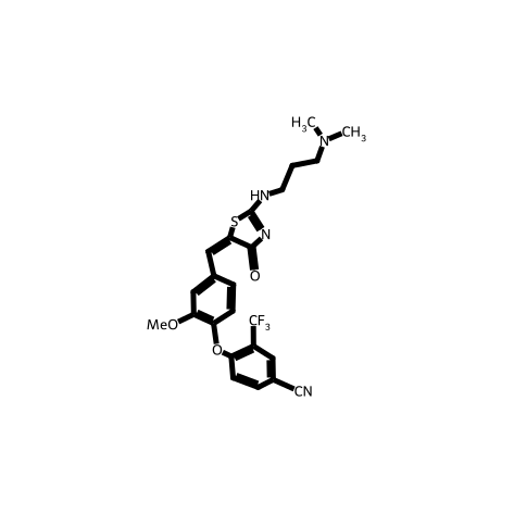 COc1cc(C=C2SC(NCCCN(C)C)=NC2=O)ccc1Oc1ccc(C#N)cc1C(F)(F)F